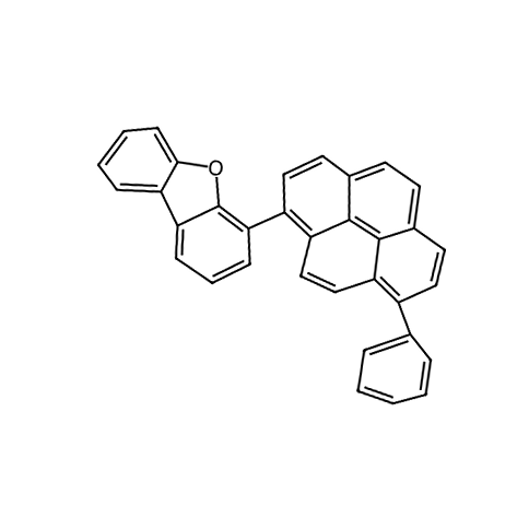 c1ccc(-c2ccc3ccc4ccc(-c5cccc6c5oc5ccccc56)c5ccc2c3c45)cc1